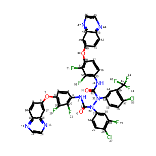 O=C(Nc1ccc(Oc2ccc3nccnc3c2)c(F)c1F)N(c1ccc(Cl)c(F)c1)N(C(=O)Nc1ccc(Oc2ccc3nccnc3c2)c(F)c1F)c1ccc(Cl)c(C(F)(F)F)c1